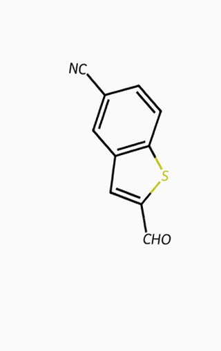 N#Cc1ccc2sc(C=O)cc2c1